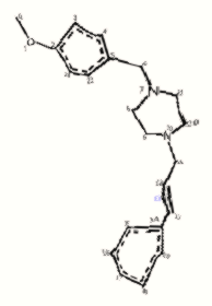 COc1ccc(CN2CCN(C/C=C/c3ccccc3)CC2)cc1